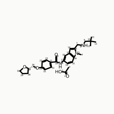 CC(=O)O.Cn1c(CNCC(C)(C)C)cc2cc(NC(=O)c3ccc(OC[C@@H]4CCCO4)cc3)ccc21